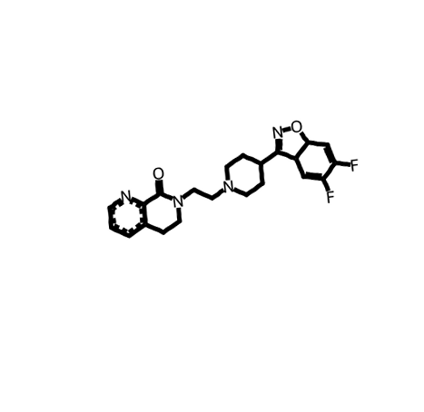 O=C1c2ncccc2CCN1CCN1CCC(C2=NOC3C=C(F)C(F)=CC23)CC1